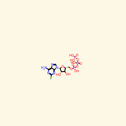 Nc1nc(F)nc2c1ncn2[C@@H]1O[C@H](COP(=O)(O)OP(=O)(O)OP(=O)(O)O)C(O)[C@@H]1O